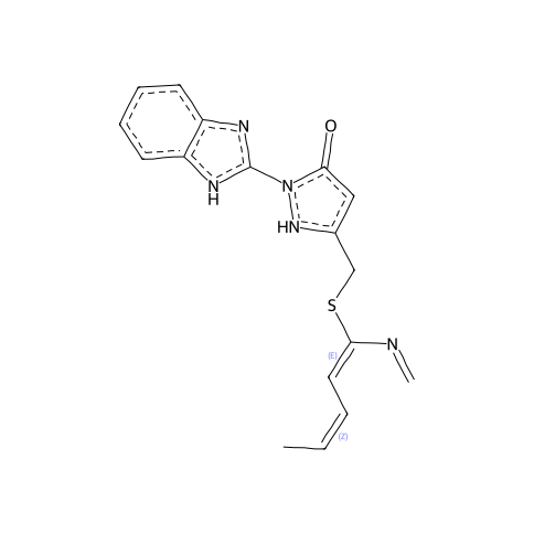 C=N/C(=C\C=C/C)SCc1cc(=O)n(-c2nc3ccccc3[nH]2)[nH]1